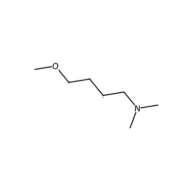 COCC[CH]CN(C)C